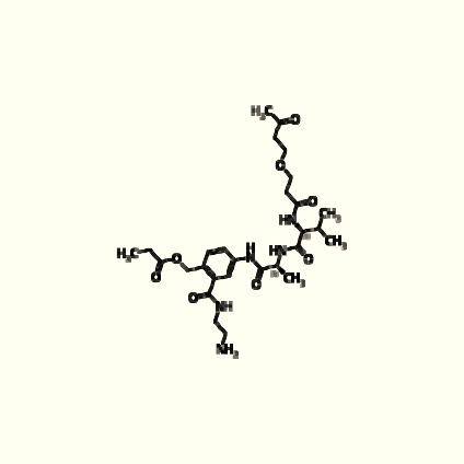 CCC(=O)OCc1ccc(NC(=O)[C@H](C)NC(=O)[C@@H](NC(=O)CCOCCC(C)=O)C(C)C)cc1C(=O)NCCN